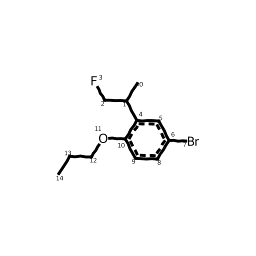 [CH2]C(CF)c1cc(Br)ccc1OCCC